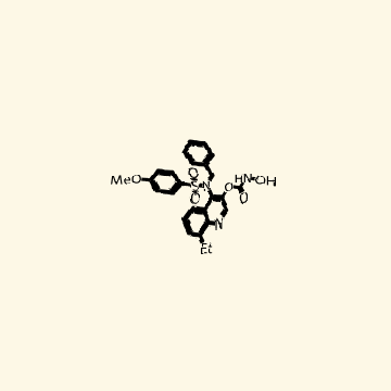 CCc1cccc2c(N(Cc3ccccc3)S(=O)(=O)c3ccc(OC)cc3)c(OC(=O)NO)cnc12